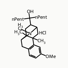 CCCCCC(O)(CCCCC)C1CC2(C)C3Cc4ccc(OC)cc4C2(C)CC1N3C.Cl